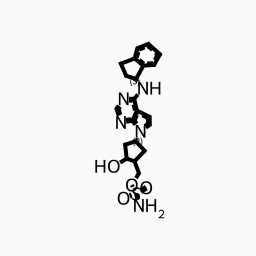 NS(=O)(=O)OCC1C[C@@H](n2ccc3c(N[C@H]4CCc5ccccc54)ncnc32)CC1O